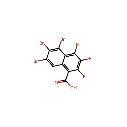 O=C(O)c1c(Br)c(Br)c(Br)c2c(Br)c(Br)c(Br)cc12